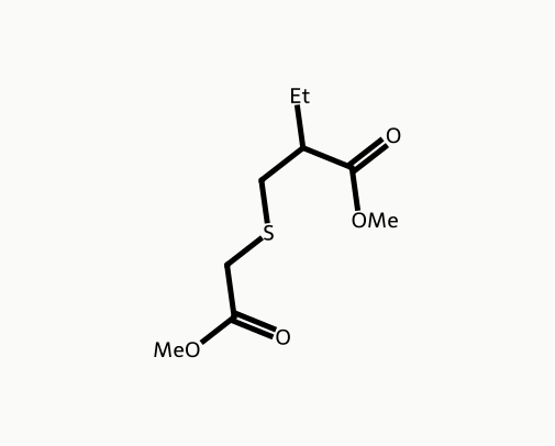 CCC(CSCC(=O)OC)C(=O)OC